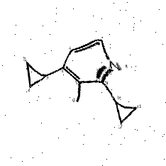 Cc1c(C2CC2)ccnc1C1CC1